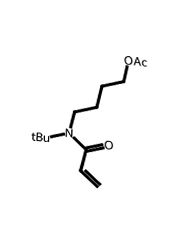 C=CC(=O)N(CCCCOC(C)=O)C(C)(C)C